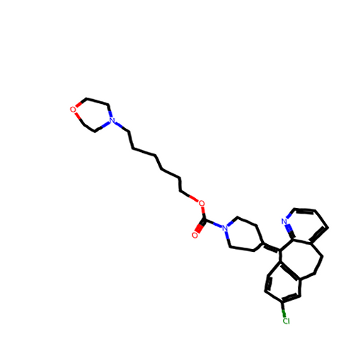 O=C(OCCCCCCN1CCOCC1)N1CCC(=C2c3ccc(Cl)cc3CCc3cccnc32)CC1